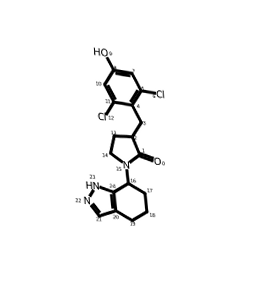 O=C1C(Cc2c(Cl)cc(O)cc2Cl)CCN1C1CCCc2cn[nH]c21